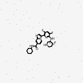 O=C(NC1CCCCC1)c1ccn2c(-c3nc(N[C@@H]4CNCC[C@H]4F)c(F)cc3F)cnc2c1